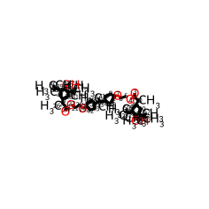 CC(C(=O)OCCOc1ccc(C(C)(C)c2ccc(OCCOC(=O)C(C)c3cc(C(C)(C)C)c(O)c(C(C)(C)C)c3)cc2)cc1)c1cc(C(C)(C)C)c(O)c(C(C)(C)C)c1